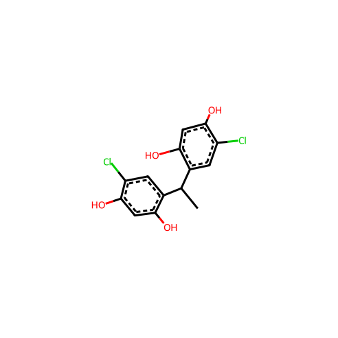 CC(c1cc(Cl)c(O)cc1O)c1cc(Cl)c(O)cc1O